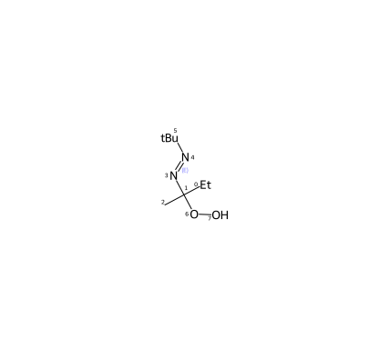 CCC(C)(/N=N/C(C)(C)C)OO